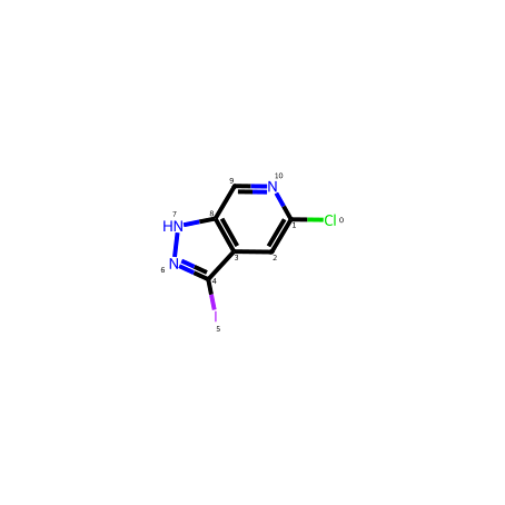 Clc1cc2c(I)n[nH]c2cn1